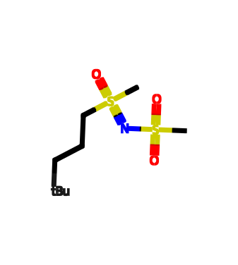 CC(C)(C)CCCS(C)(=O)=NS(C)(=O)=O